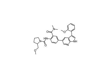 COCC1CCCN1C(=O)Nc1ccc(-c2cnc3[nH]cc(-c4ccccc4OC)c3c2)cc1C(=O)N(C)C